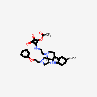 COc1ccc2[nH]c3c(c2c1)CCN(CCNc1c(OC(=O)C(F)(F)F)c(=O)c1=O)[C@]31CCN(CCOc2ccccc2)C1